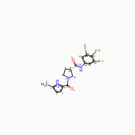 Cc1ccc(C(=O)N2CC[C@H](C(=O)Nc3cc(F)c(F)c(F)c3)C2)[nH]1